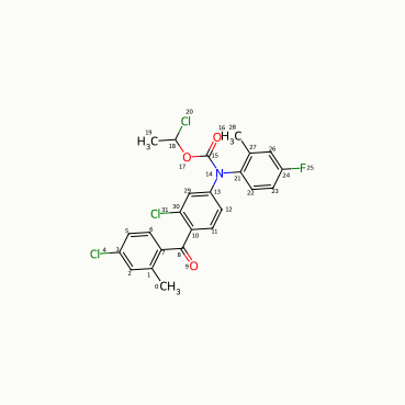 Cc1cc(Cl)ccc1C(=O)c1ccc(N(C(=O)OC(C)Cl)c2ccc(F)cc2C)cc1Cl